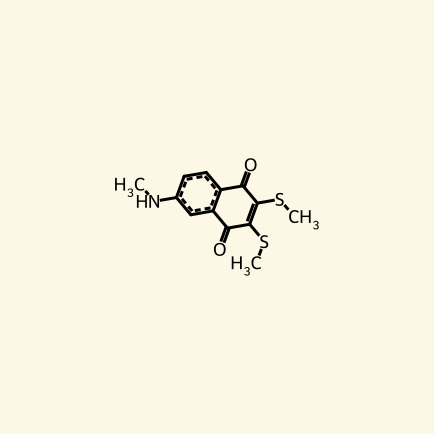 CNc1ccc2c(c1)C(=O)C(SC)=C(SC)C2=O